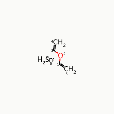 C=COC=C.[SnH2]